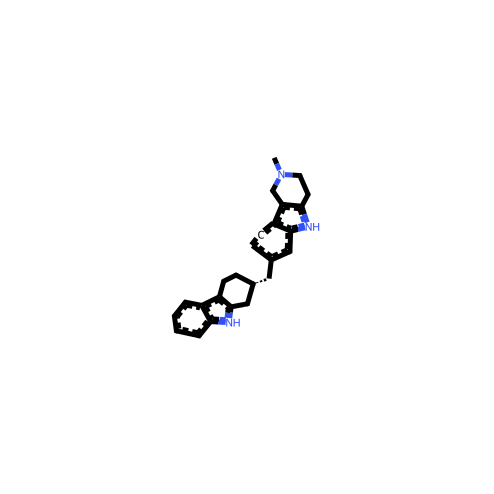 CN1CCc2[nH]c3cc(C[C@H]4CCc5c([nH]c6ccccc56)C4)ccc3c2C1